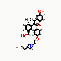 CCC1CN(CCOc2ccc([C@@H]3Oc4ccc(O)cc4C(C)=C3c3cccc(CO)c3)cc2)C1